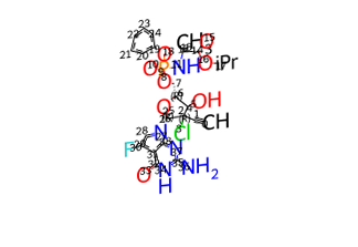 C#C[C@@]1(Cl)C(O)[C@@H](COP(=O)(NC(C)C(=O)OC(C)C)Oc2ccccc2)O[C@H]1n1cc(F)c2c(=O)[nH]c(N)nc21